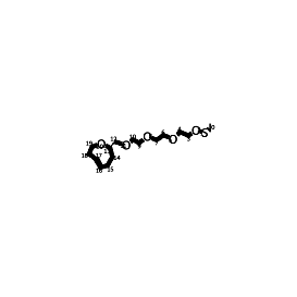 ISOCCOCCOCCOC[C@@H]1CC/C=C/CCO1